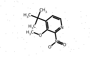 COc1c(C(C)(C)C)ccnc1[N+](=O)[O-]